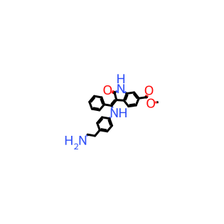 COC(=O)c1ccc2c(c1)NC(=O)C2=C(Nc1ccc(CCN)cc1)c1ccccc1